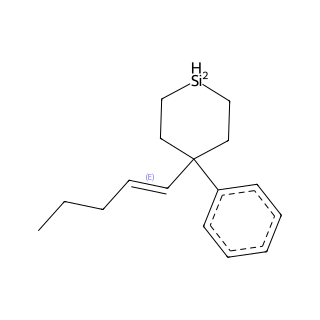 CCC/C=C/C1(c2ccccc2)CC[SiH2]CC1